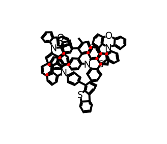 Cc1cccc(-c2cc(-c3ccccc3)ccc2N(c2ccccc2-c2ccc3c(c2)c2cccc4c2n3-c2ccccc2O4)c2cccc3c2sc2ccccc23)c1-c1cc2c3c(c1)c1cc(-c4ccccc4N(c4ccc(-c5cccc6c5sc5ccccc56)cc4)c4ccc(-c5ccccc5)cc4-c4ccccc4)ccc1n3-c1ccccc1O2